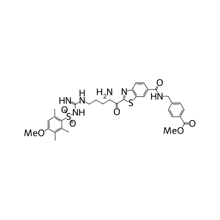 COC(=O)c1ccc(CNC(=O)c2ccc3nc(C(=O)[C@@H](N)CCCNC(=N)NS(=O)(=O)c4c(C)cc(OC)c(C)c4C)sc3c2)cc1